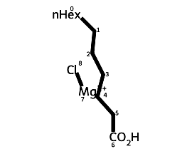 CCCCCCCCCCCC(=O)O.[Mg+2][Cl]